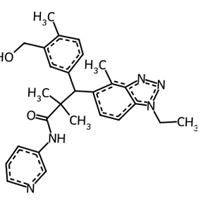 CCn1nnc2c(C)c(C(c3ccc(C)c(CO)c3)C(C)(C)C(=O)Nc3cccnc3)ccc21